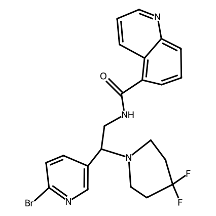 O=C(NCC(c1ccc(Br)nc1)N1CCC(F)(F)CC1)c1cccc2ncccc12